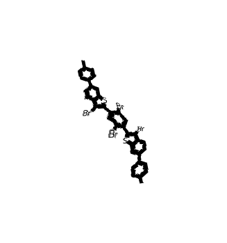 Cc1ccc(-c2ccc3c(Br)c(-c4cc(Br)c(-c5sc6cc(-c7ccc(C)cc7)ccc6c5Br)cc4Br)sc3c2)cc1